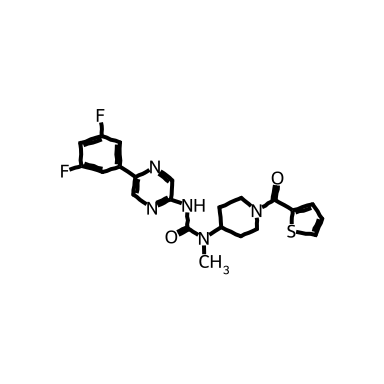 CN(C(=O)Nc1cnc(-c2cc(F)cc(F)c2)cn1)C1CCN(C(=O)c2cccs2)CC1